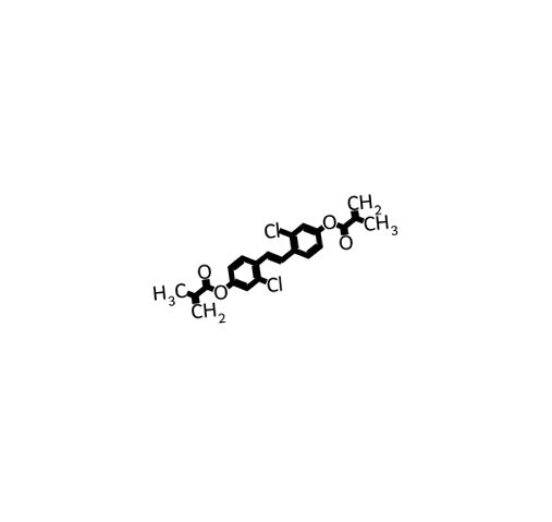 C=C(C)C(=O)Oc1ccc(/C=C/c2ccc(OC(=O)C(=C)C)cc2Cl)c(Cl)c1